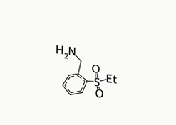 CCS(=O)(=O)c1ccccc1CN